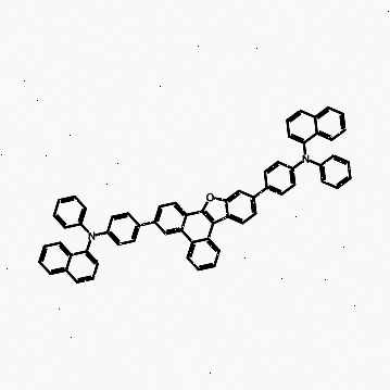 c1ccc(N(c2ccc(-c3ccc4c(c3)oc3c5ccc(-c6ccc(N(c7ccccc7)c7cccc8ccccc78)cc6)cc5c5ccccc5c43)cc2)c2cccc3ccccc23)cc1